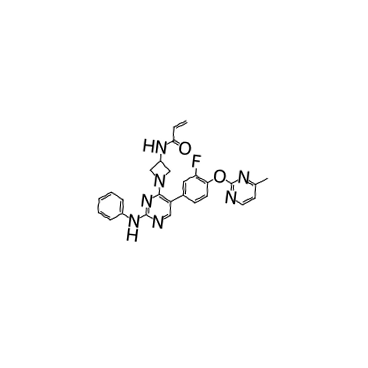 C=CC(=O)NC1CN(c2nc(Nc3ccccc3)ncc2-c2ccc(Oc3nccc(C)n3)c(F)c2)C1